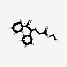 CCOC(=O)CCC(C(=O)c1ccccc1)c1ccccc1